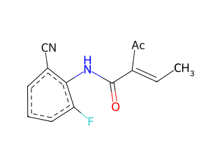 C/C=C(\C(C)=O)C(=O)Nc1c(F)cccc1C#N